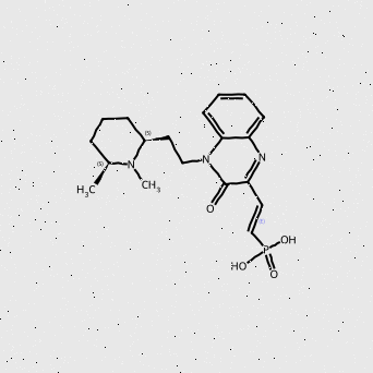 C[C@H]1CCC[C@@H](CCn2c(=O)c(/C=C/P(=O)(O)O)nc3ccccc32)N1C